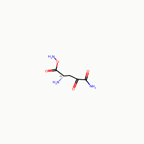 NOC(=O)[C@@H](N)CC(=O)C(N)=O